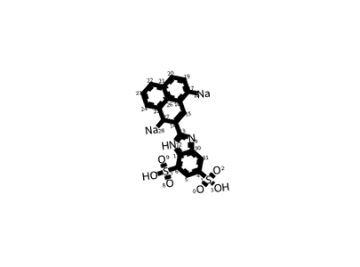 O=S(=O)(O)c1cc(S(=O)(=O)O)c2[nH]c(C3=Cc4[c]([Na])ccc5cccc(c45)[CH]3[Na])nc2c1